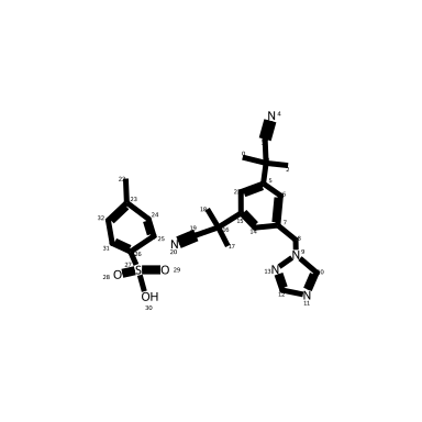 CC(C)(C#N)c1cc(Cn2cncn2)cc(C(C)(C)C#N)c1.Cc1ccc(S(=O)(=O)O)cc1